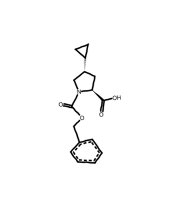 O=C(O)[C@@H]1C[C@@H](C2CC2)CN1C(=O)OCc1ccccc1